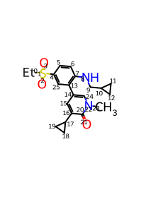 CCS(=O)(=O)c1ccc(NCC2CC2)c(-c2cc(C3CC3)c(=O)n(C)c2)c1